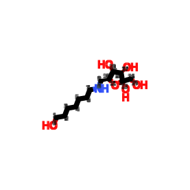 OCCCCCCCNC[C@@H]1O[C@](O)(CO)[C@@H](O)[C@@H]1O